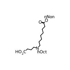 CCCCCCCCCOC(=O)CCCCCCCN(CCCCCCCC)CCCC(=O)O